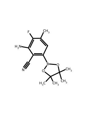 Cc1cc(B2OC(C)(C)C(C)(C)O2)c(C#N)c(N)c1F